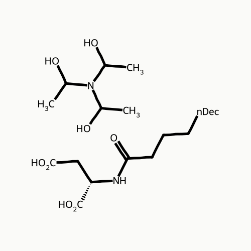 CC(O)N(C(C)O)C(C)O.CCCCCCCCCCCCCC(=O)N[C@@H](CC(=O)O)C(=O)O